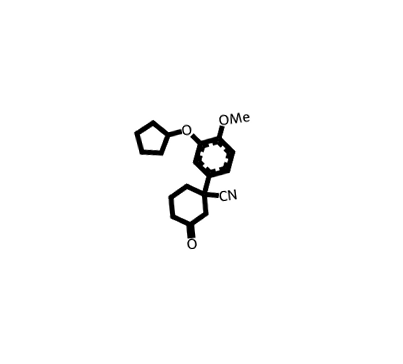 COc1ccc(C2(C#N)CCCC(=O)C2)cc1OC1CCCC1